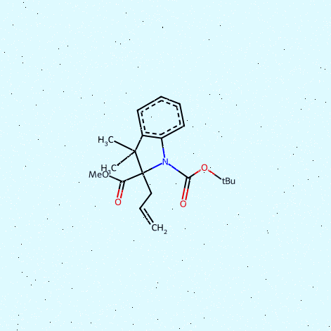 C=CCC1(C(=O)OC)N(C(=O)OC(C)(C)C)c2ccccc2C1(C)C